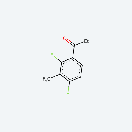 CCC(=O)c1ccc(F)c(C(F)(F)F)c1F